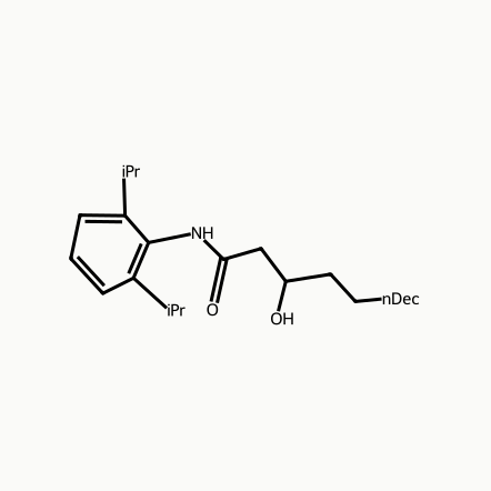 CCCCCCCCCCCCC(O)CC(=O)Nc1c(C(C)C)cccc1C(C)C